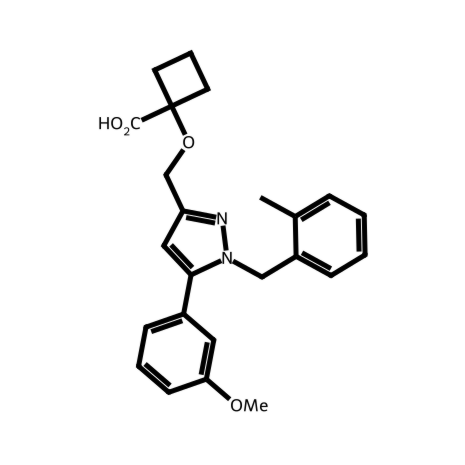 COc1cccc(-c2cc(COC3(C(=O)O)CCC3)nn2Cc2ccccc2C)c1